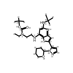 CCN(CCNc1cc(NC(C)(C)C)nc2cc(-c3ccnn3C3CCCCO3)sc12)C(=O)OC(C)(C)C